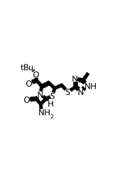 Cc1nc(SCC2C=C(C(=O)OC(C)(C)C)N3C(=O)C(N)[C@H]3S2)n[nH]1